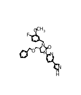 COc1cc(CN2C(=O)N(c3ccc(-c4cn[nH]c4)cn3)C[C@H]2COCc2ccccc2)ccc1F